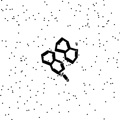 C=O.[Ti].c1ccc2ncccc2c1.c1ccc2ncccc2c1